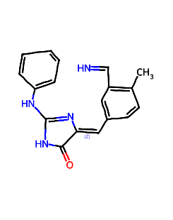 Cc1ccc(/C=C2\N=C(Nc3ccccc3)NC2=O)cc1C=N